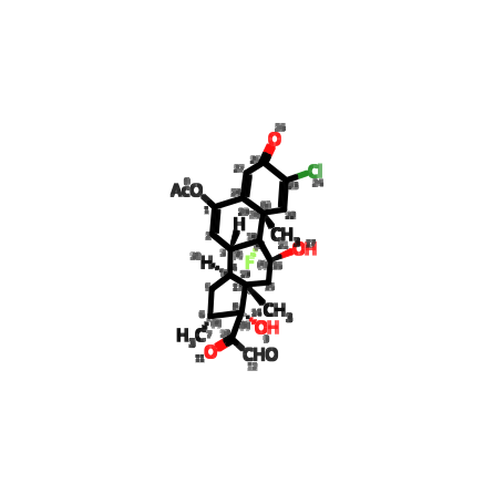 CC(=O)OC1=C[C@H]2[C@@H]3C[C@@H](C)[C@](O)(C(=O)C=O)[C@@]3(C)C[C@H](O)[C@]2(F)[C@@]2(C)C=C(Cl)C(=O)C=C12